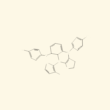 Cc1ccoc1B1C2=C(CCO2)N(c2ccc(C(C)(C)C)cc2)C2=CC=CC(Nc3ccc(C(C)(C)C)cc3)C12